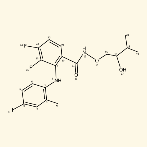 Cc1cc(I)ccc1Nc1c(C(=O)NOCC(O)C(C)C)ccc(F)c1F